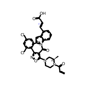 C=CC(=O)N1CCN(c2onc(-c3c(Cl)cc(Cl)cc3Cl)c2C(=O)n2ccc3c(/C=C/C(=O)O)cccc32)C[C@H]1C